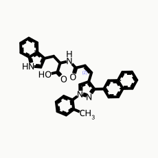 Cc1ccccc1-n1cc(/C=C\C(=O)NC(Cc2c[nH]c3ccccc23)C(=O)O)c(-c2ccc3ccccc3c2)n1